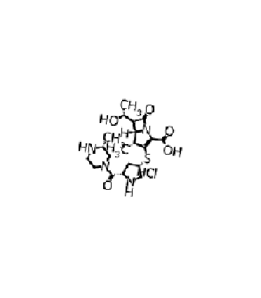 C[C@@H]1CN(C(=O)[C@@H]2C[C@H](SC3=C(C(=O)O)N4C(=O)[C@H]([C@@H](C)O)[C@H]4[C@H]3C)CN2)CCN1.Cl